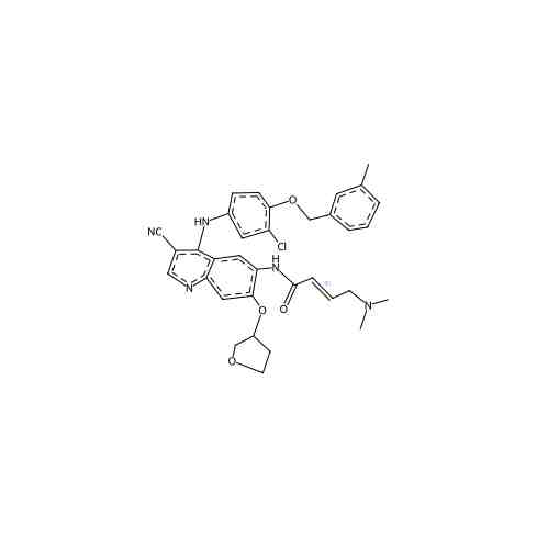 Cc1cccc(COc2ccc(Nc3c(C#N)cnc4cc(OC5CCOC5)c(NC(=O)/C=C/CN(C)C)cc34)cc2Cl)c1